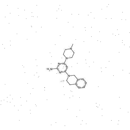 C[C@H]1Cc2ccccc2CN1c1cc(N2CCN(C)CC2)nc(N)n1